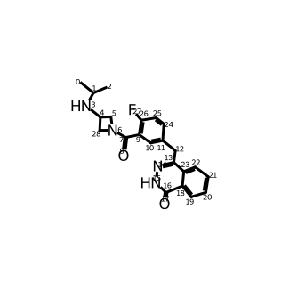 CC(C)NC1CN(C(=O)c2cc(Cc3n[nH]c(=O)c4ccccc34)ccc2F)C1